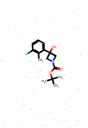 Cc1c(Cl)cccc1C1(O)CN(C(=O)OC(C)(C)C)C1